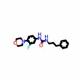 O=C(NCCCc1ccccc1)Nc1ccc(N2CCOCC2)c(F)c1